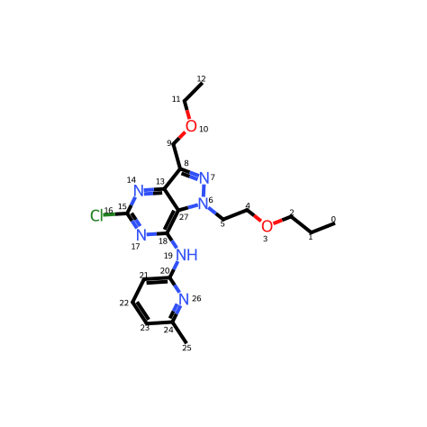 CCCOCCn1nc(COCC)c2nc(Cl)nc(Nc3cccc(C)n3)c21